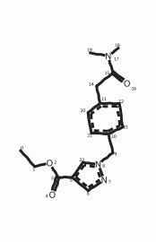 CCOC(=O)c1cnn(Cc2ccc(CC(=O)N(C)C)cc2)c1